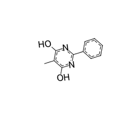 Cc1c(O)nc(-c2ccccc2)nc1O